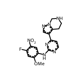 COc1cc(F)c([N+](=O)[O-])cc1Nc1nccc(-c2cnn3c2CCNC3)n1